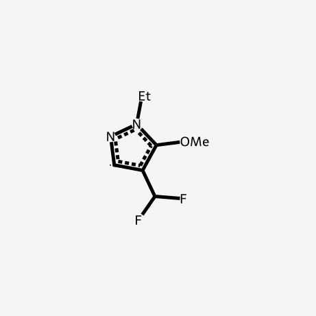 CCn1n[c]c(C(F)F)c1OC